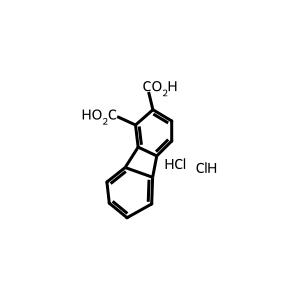 Cl.Cl.O=C(O)c1ccc2c(c1C(=O)O)-c1ccccc1-2